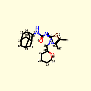 Cc1sc(=NC(=O)NC2C3CC4CC(C3)CC2C4)n(CC2CCCCO2)c1C